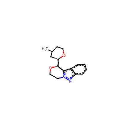 CC1CCO[C@@H]([C@@H]2OCCn3nc4ccccc4c32)C1